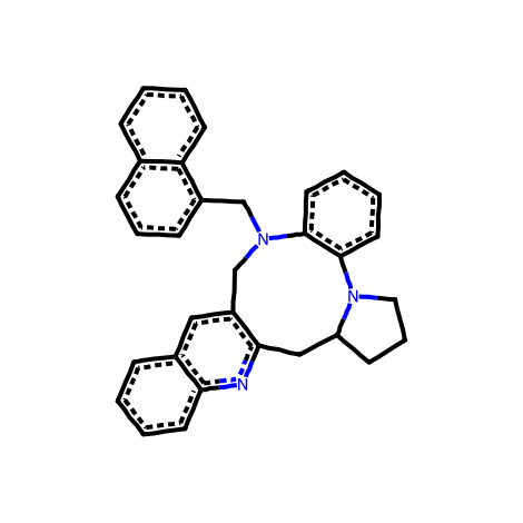 c1ccc2c(c1)N(Cc1cccc3ccccc13)Cc1cc3ccccc3nc1CC1CCCN21